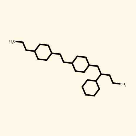 CCCC1CCC(CCC2CCC(CC(CCC)C3CCCCC3)CC2)CC1